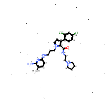 Nc1nc(NCCCn2ccc(-c3ccc(Cl)cc3Cl)c2C(=O)NCCN2CCCC2)ccc1[N+](=O)[O-]